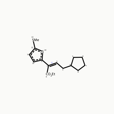 CCOC(=O)/C(=C\CC1CCCC1)c1ccc(SC)s1